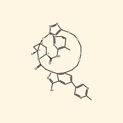 CC(=O)c1nn2c3c(cc(-c4cnc(C)nc4)cc13)CCCCCCCCc1cn(nn1)C[C@@]13C[C@@H](C(=O)Nc4nc(Br)ccc4C)N(C(=O)C2)[C@@H]1C3